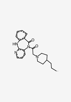 [CH2]CCC1CCN(CC(=O)N2C(=O)c3ccccc3Nc3ncccc32)CC1